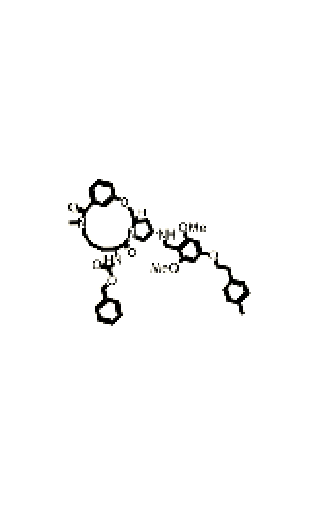 COc1cc(OCCc2ccc(C)cc2)cc(OC)c1CN[C@H]1C[C@H]2COc3cccc(c3)C(=O)N(C)CCC[C@H](NC(=O)OCc3ccccc3)C(=O)N2C1